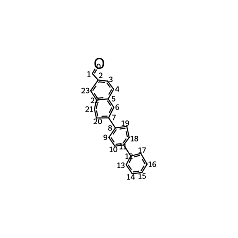 O=Cc1ccc2cc(-c3ccc(-c4ccccc4)cc3)ccc2c1